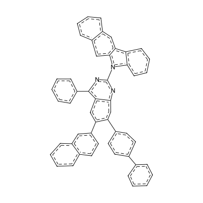 c1ccc(-c2ccc(-c3cc4nc(-n5c6ccccc6c6cc7ccccc7cc65)nc(-c5ccccc5)c4cc3-c3ccc4ccccc4c3)cc2)cc1